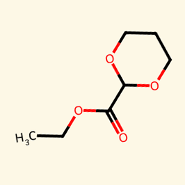 CCOC(=O)C1OCCCO1